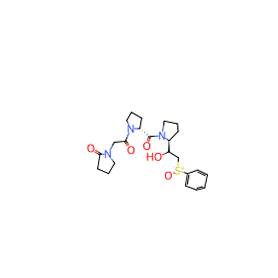 O=C1CCCN1CC(=O)N1CCC[C@@H]1C(=O)N1CCC[C@H]1C(O)C[S+]([O-])c1ccccc1